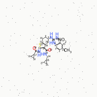 Cc1ccc(N[C@@H](NC2CCc3sc(NC(=O)C4CC4)c(C(=O)NCC4CC4)c3C2)N[N+](=O)[O-])cc1